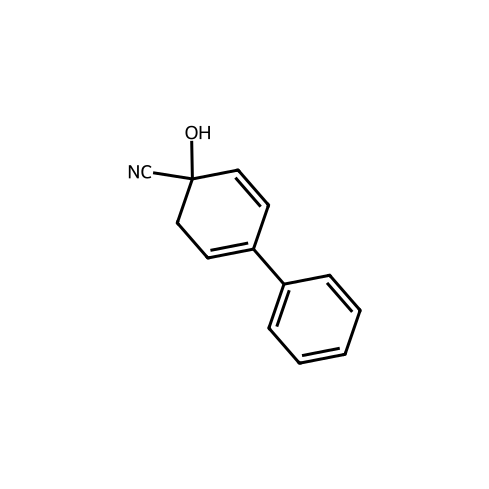 N#CC1(O)C=CC(c2ccccc2)=CC1